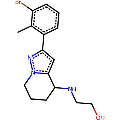 Cc1c(Br)cccc1-c1cc2n(n1)CCCC2NCCO